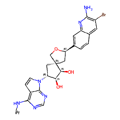 CC(C)Nc1ncnc2c1ccn2[C@@H]1C[C@@]2(CO[C@@H](c3ccc4cc(Br)c(N)nc4c3)C2)[C@@H](O)[C@H]1O